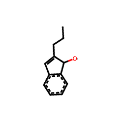 CCCC1=Cc2ccccc2C1[O]